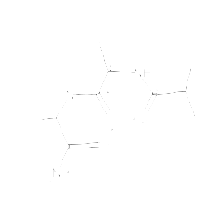 CC(C)C(=O)NC(C)C(=O)NC(C)C(N)=O